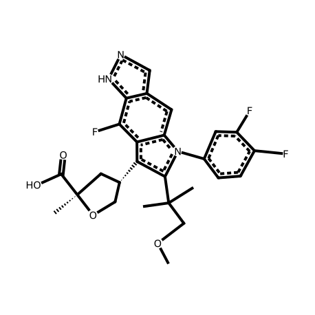 COCC(C)(C)c1c([C@@H]2CO[C@@](C)(C(=O)O)C2)c2c(F)c3[nH]ncc3cc2n1-c1ccc(F)c(F)c1